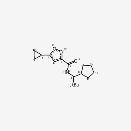 CC(C)(C)C(NC(=O)c1cc(C2CC2)on1)C1CCCC1